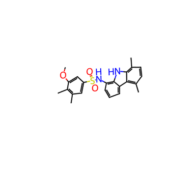 COc1cc(S(=O)(=O)Nc2cccc3c2[nH]c2c(C)ccc(C)c23)cc(C)c1C